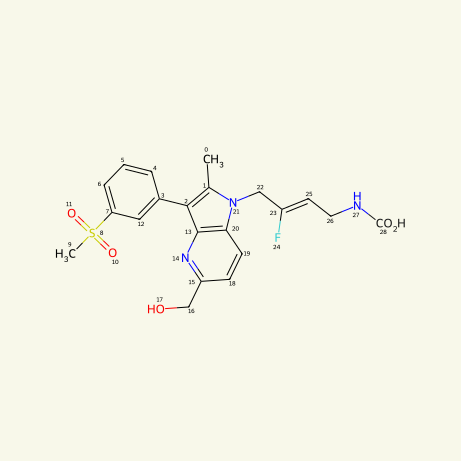 Cc1c(-c2cccc(S(C)(=O)=O)c2)c2nc(CO)ccc2n1CC(F)=CCNC(=O)O